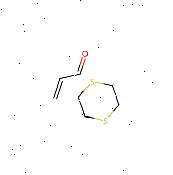 C1CSCCS1.C=CC=O